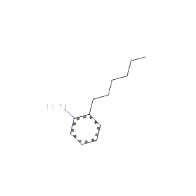 CCCCC[CH]c1ccccc1N